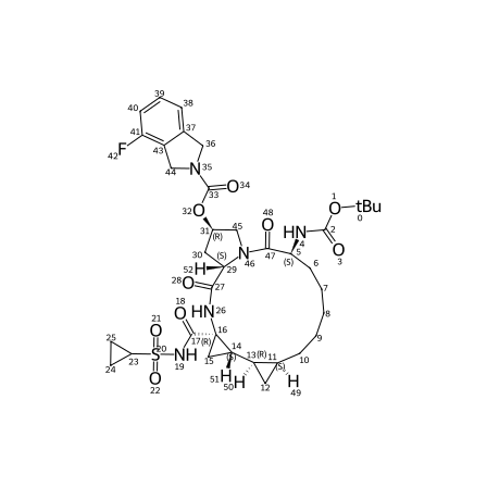 CC(C)(C)OC(=O)N[C@H]1CCCCC[C@H]2C[C@H]2[C@@H]2C[C@@]2(C(=O)NS(=O)(=O)C2CC2)NC(=O)[C@@H]2C[C@@H](OC(=O)N3Cc4cccc(F)c4C3)CN2C1=O